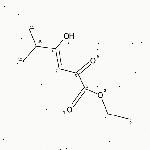 CCOC(=O)C(=O)C=C(O)C(C)C